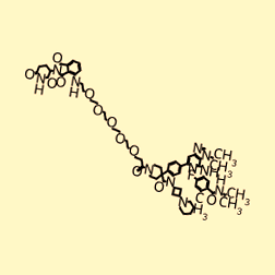 Cc1cc(F)c(Nc2nc(-c3ccc4c(c3)N([C@H]3C[C@@H](N5CCCCC5)C3)C(=O)C43CCN(C(=O)CCOCCOCCOCCOCCOCCNc4cccc5c4C(=O)N(C4CCC(=O)NC4=O)C5=O)CC3)cc3ncn(C(C)C)c23)cc1C(=O)NC(C)C